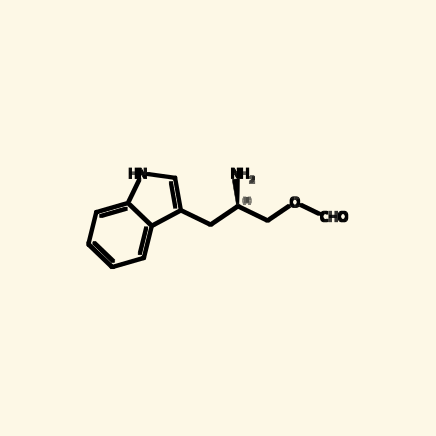 N[C@@H](COC=O)Cc1c[nH]c2ccccc12